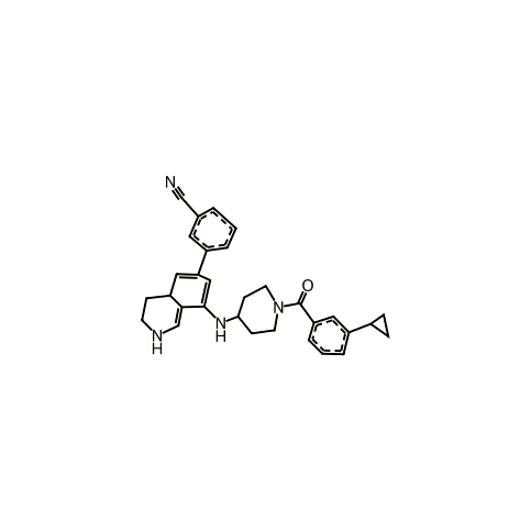 N#Cc1cccc(C2=CC3CCNC=C3C(NC3CCN(C(=O)c4cccc(C5CC5)c4)CC3)=C2)c1